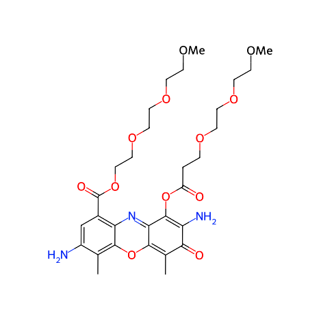 COCCOCCOCCOC(=O)c1cc(N)c(C)c2oc3c(C)c(=O)c(N)c(OC(=O)CCOCCOCCOC)c-3nc12